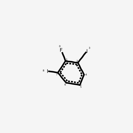 Fc1c(I)c[c]cc1I